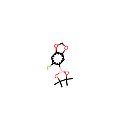 CC1(C)OB(c2cc3c(cc2F)OCO3)OC1(C)C